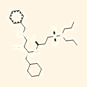 CCCN(CCC)S(=O)(=O)CCC(=O)N[C@@H](CC1CCCCC1)[C@H](O)CNCc1ccccc1